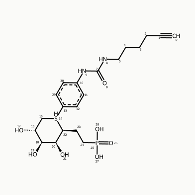 C#CCCCCNC(=O)Nc1ccc([SH]2C[C@@H](O)[C@H](O)[C@H](O)[C@@H]2CCP(=O)(O)O)cc1